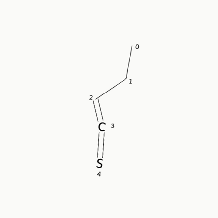 CCC=C=S